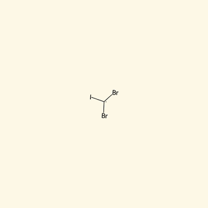 Br[C](Br)I